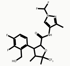 Cc1nn(C(F)F)cc1NC(=O)C1OC(C)(C(F)(F)F)C(C)C1c1ccc(F)c(F)c1CO